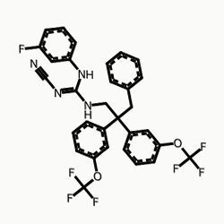 N#C/N=C(/NCC(Cc1ccccc1)(c1cccc(OC(F)(F)F)c1)c1cccc(OC(F)(F)F)c1)Nc1cccc(F)c1